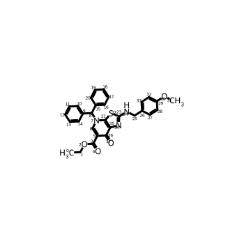 CCOC(=O)c1cn(C(c2ccccc2)c2ccccc2)c2sc(NCc3ccc(OC)cc3)nc2c1=O